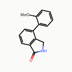 COc1ccccc1-c1cccc2c1CNC2=O